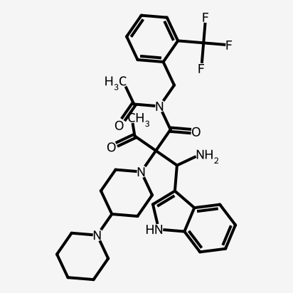 CC(=O)N(Cc1ccccc1C(F)(F)F)C(=O)C(C(C)=O)(C(N)c1c[nH]c2ccccc12)N1CCC(N2CCCCC2)CC1